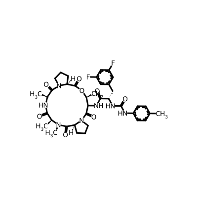 Cc1ccc(NC(=O)N[C@@H](Cc2cc(F)cc(F)c2)C(=O)NC2C(=O)N3CCC[C@H]3C(=O)N(C)[C@@H](C)C(=O)N[C@@H](C)C(=O)N3CCC[C@H]3C(=O)O[C@H]2C)cc1